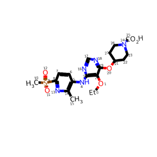 CCOc1c(Nc2ccc(S(C)(=O)=O)nc2C)ncnc1OC1CCN(C(=O)O)CC1